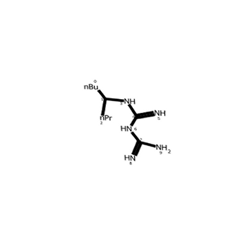 CCCCC(CCC)NC(=N)NC(=N)N